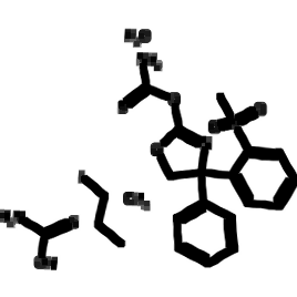 C.CCCI.CS(=O)(=O)c1ccccc1C1(c2ccccc2)COC(OC(N)=S)=N1.NC(O)=S.O